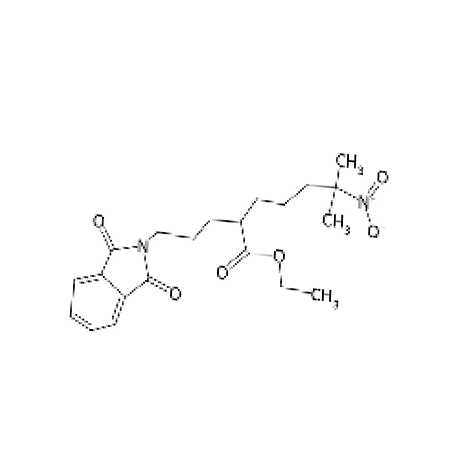 CCOC(=O)C(CCCN1C(=O)c2ccccc2C1=O)CCCC(C)(C)[N+](=O)[O-]